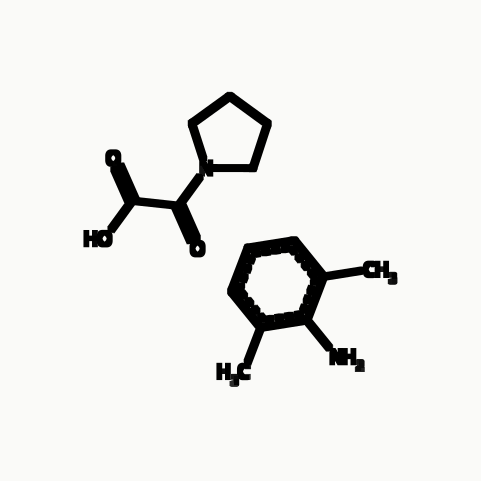 Cc1cccc(C)c1N.O=C(O)C(=O)N1CCCC1